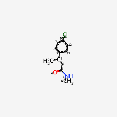 [CH2-][C+](CC(=O)NC)c1ccc(Cl)cc1